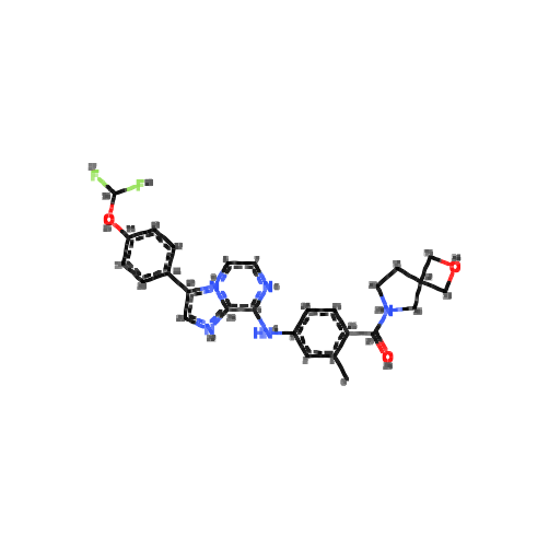 Cc1cc(Nc2nccn3c(-c4ccc(OC(F)F)cc4)cnc23)ccc1C(=O)N1CCC2(COC2)C1